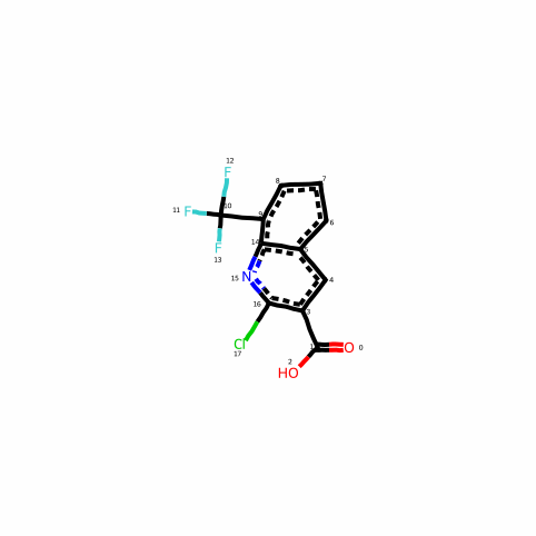 O=C(O)c1cc2cccc(C(F)(F)F)c2nc1Cl